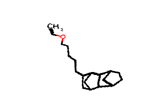 C=COCCCCCC1CC2CC1C1C3CCC(C3)C21